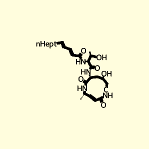 CCCCCCC/C=C/C=C/C(=O)N[C@H](C(=O)N[C@H]1C[C@@H](O)CCNC(=O)/C=C/[C@H](C)NC1=O)[C@@H](C)O